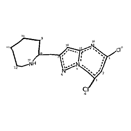 Clc1cc(Cl)n2nc(C3CCCCN3)cc2n1